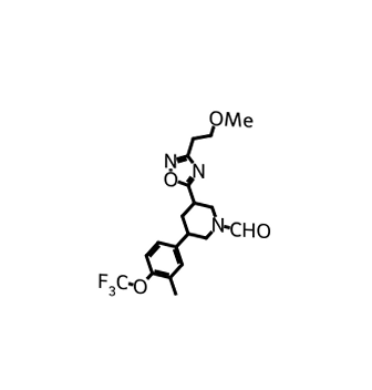 COCCc1noc(C2CC(c3ccc(OC(F)(F)F)c(C)c3)CN(C=O)C2)n1